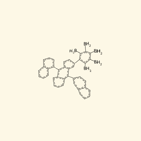 Bc1c(B)c(B)c(-c2ccc3c(-c4cccc5ccccc45)c4ccccc4c(-c4ccc5ccccc5c4)c3c2)c(B)c1B